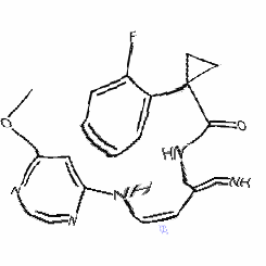 COc1cc(N/C=C\C(=N)NC(=O)C2(c3ccccc3F)CC2)ncn1